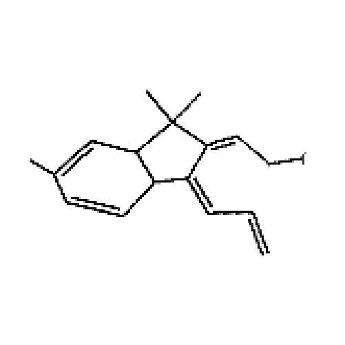 C=C/C=C1\C(=C/CI)C(C)(C)C2C=C(C)C=CC12